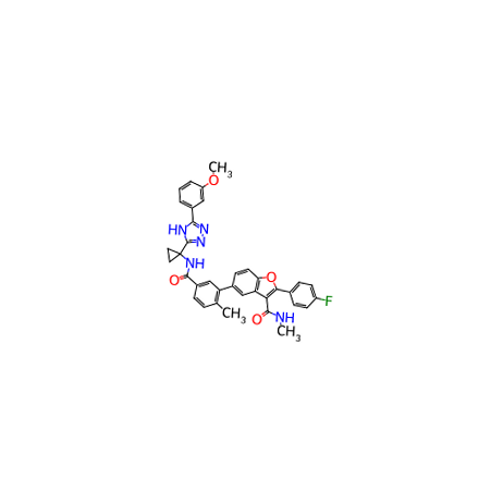 CNC(=O)c1c(-c2ccc(F)cc2)oc2ccc(-c3cc(C(=O)NC4(c5nnc(-c6cccc(OC)c6)[nH]5)CC4)ccc3C)cc12